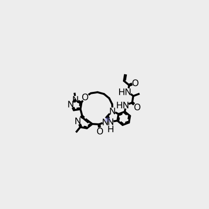 C=CC(=O)NC(C)C(=O)Nc1cccc2c1N1CCCCCOc3c(cnn3C)-c3cc(cc(C)n3)C(=O)/N=C/1N2